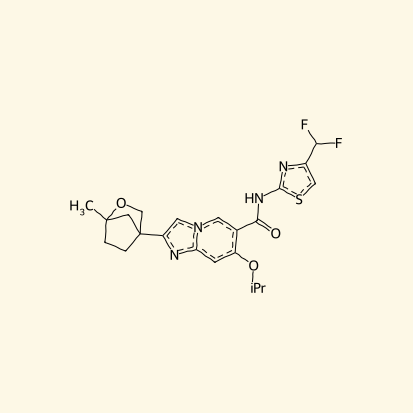 CC(C)Oc1cc2nc(C34CCC(C)(C3)OC4)cn2cc1C(=O)Nc1nc(C(F)F)cs1